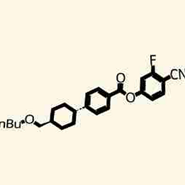 CCCCOC[C@H]1CC[C@H](c2ccc(C(=O)Oc3ccc(C#N)c(F)c3)cc2)CC1